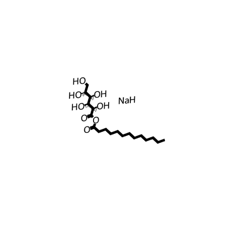 CCCCCCCCCCCCC(=O)OC(=O)[C@H](O)[C@@H](O)[C@H](O)[C@H](O)CO.[NaH]